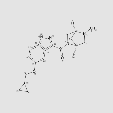 CN1C[C@@H]2C[C@H]1CN2C(=O)c1n[nH]c2ccc(OCC3CC3)cc12